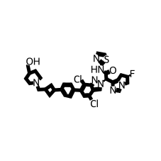 O=C(Nc1nccs1)[C@@H](c1ncn2c1C[C@@H](F)C2)n1cc2c(Cl)cc(-c3ccc(C4CC(CN5CCC(CO)CC5)C4)cc3)c(Cl)c2n1